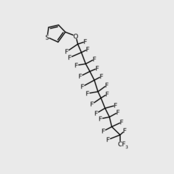 FC(F)(F)C(F)(F)C(F)(F)C(F)(F)C(F)(F)C(F)(F)C(F)(F)C(F)(F)C(F)(F)C(F)(F)C(F)(F)C(F)(F)Oc1ccsc1